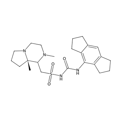 CN1CCN2CCC[C@@]2(C)C1CS(=O)(=O)NC(=O)Nc1c2c(cc3c1CCC3)CCC2